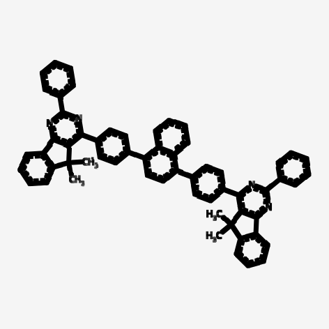 CC1(C)c2ccccc2-c2nc(-c3ccccc3)nc(-c3ccc(-c4ccc(-c5ccc(-c6nc(-c7ccccc7)nc7c6C(C)(C)c6ccccc6-7)cc5)c5ccccc45)cc3)c21